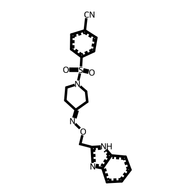 N#Cc1ccc(S(=O)(=O)N2CCC(=NOCc3nc4ccccc4[nH]3)CC2)cc1